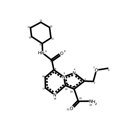 COCc1nn2c(C(=O)NC3CCCCC3)ccnc2c1C(N)=O